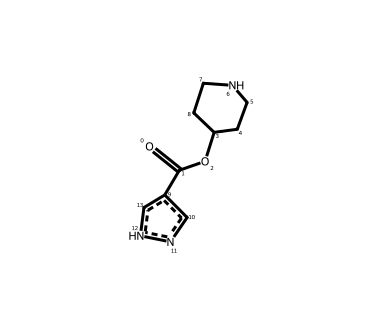 O=C(OC1CCNCC1)c1cn[nH]c1